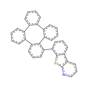 c1ccc2c(c1)-c1ccccc1-c1cccc(-c3cccc4c3sc3ncccc34)c1-c1ccccc1-2